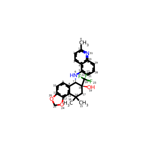 Cc1ccc2c(N[C@H]3c4ccc5c(c4C(C)(C)C[C@@]3(O)C(F)(F)F)OCO5)cccc2n1